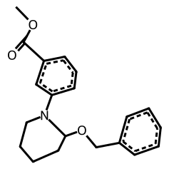 COC(=O)c1cccc(N2CCCCC2OCc2ccccc2)c1